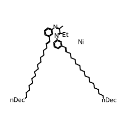 CCCCCCCCCCCCCCCCCCCCCCCCCC=Cc1cccc(N=C(C)C(CC)=Nc2cccc(C=CCCCCCCCCCCCCCCCCCCCCCCCCC)c2)c1.[Ni]